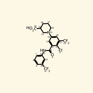 CCc1c(C(=O)Nc2cccc(C(F)(F)F)c2)cc(N2CCCC(C(=O)O)C2)cc1C(F)(F)F